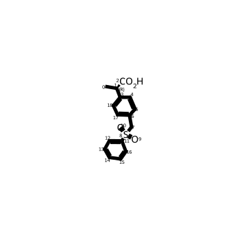 C[C@@H](C(=O)O)c1ccc(CS(=O)(=O)c2ccccc2)cc1